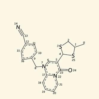 CC1CSC(c2c[n+](Cc3ccc(C#N)cc3)c3ccccn3c2=O)S1